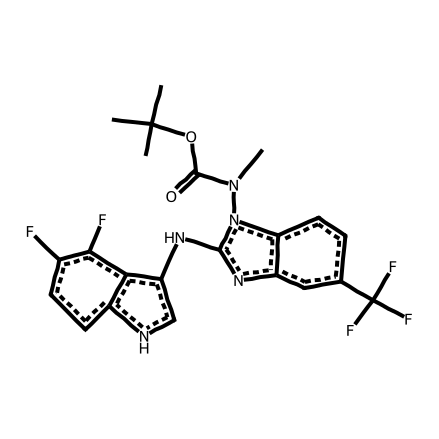 CN(C(=O)OC(C)(C)C)n1c(Nc2c[nH]c3ccc(F)c(F)c23)nc2cc(C(F)(F)F)ccc21